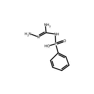 NN=C(N)NP(=O)(O)c1ccccc1